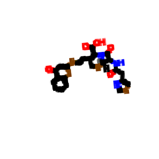 O=C(Cc1cscn1)NC1C(=O)N2C(C(=O)O)=C(C=CSc3cc(=O)c4ccccc4s3)CS[C@@H]12